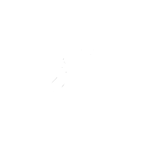 CCOC(=O)O[C@H]1CC[C@H]2[C@@H]3CCC4=C[C@@H](O)C=C[C@]4(C)[C@H]3CC[C@]12C